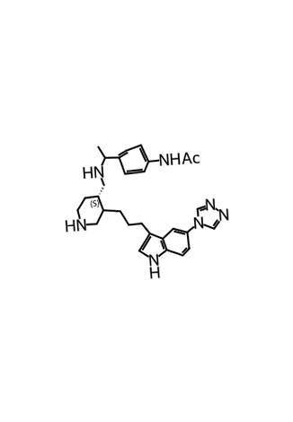 CC(=O)Nc1ccc(C(C)NC[C@H]2CCNCC2CCCc2c[nH]c3ccc(-n4cnnc4)cc23)cc1